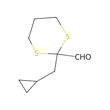 O=CC1(CC2CC2)SCCCS1